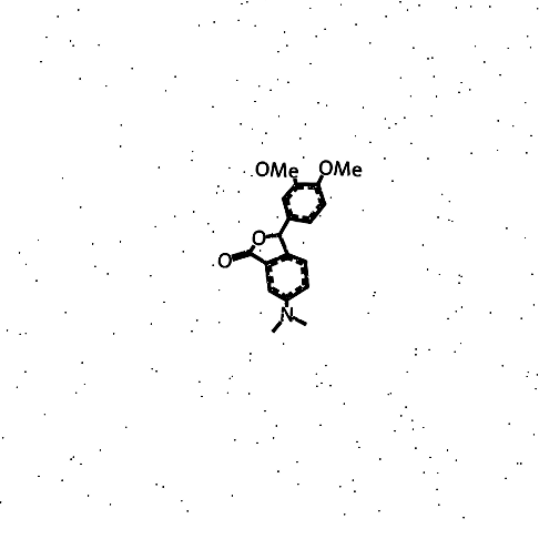 COc1ccc(C2OC(=O)c3cc(N(C)C)ccc32)cc1OC